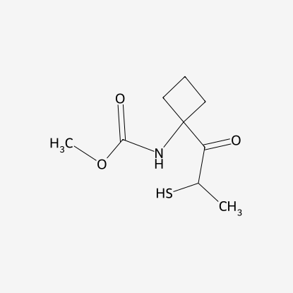 COC(=O)NC1(C(=O)C(C)S)CCC1